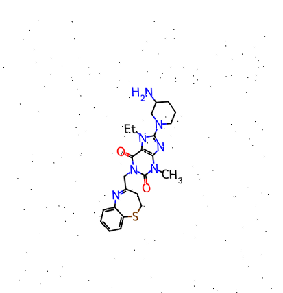 CCn1c(N2CCCC(N)C2)nc2c1c(=O)n(CC1=Nc3ccccc3SCC1)c(=O)n2C